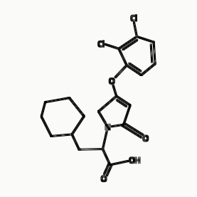 O=C(O)C(CC1CCCCC1)N1CC(Oc2cccc(Cl)c2Cl)=CC1=O